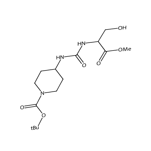 COC(=O)C(CO)NC(=O)NC1CCN(C(=O)OC(C)(C)C)CC1